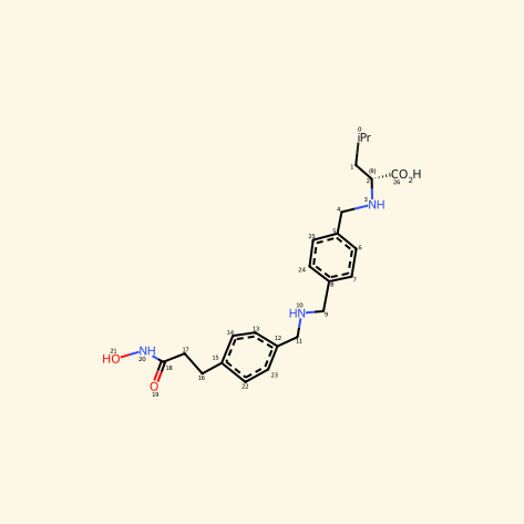 CC(C)C[C@@H](NCc1ccc(CNCc2ccc(CCC(=O)NO)cc2)cc1)C(=O)O